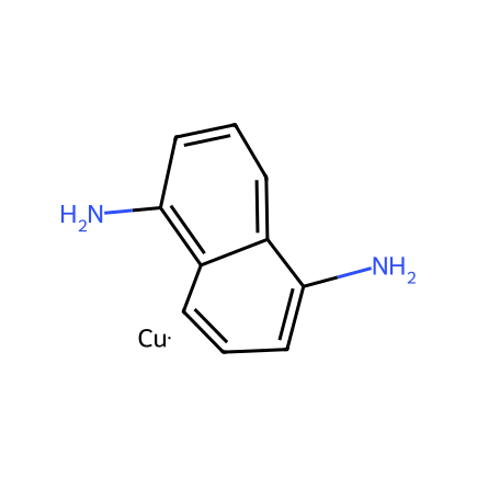 Nc1cccc2c(N)cccc12.[Cu]